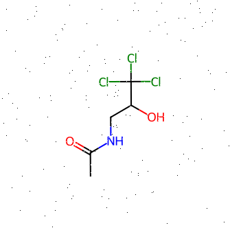 CC(=O)NCC(O)C(Cl)(Cl)Cl